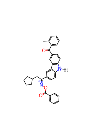 CCn1c2ccc(C(=O)c3ccccc3C)cc2c2cc(/C(CC3CCCC3)=N\OC(=O)c3ccccc3)ccc21